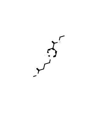 CCNC(=O)c1cc[n+](CCCC(=O)OC)nc1